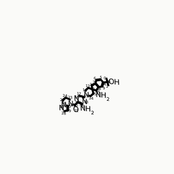 CC(C)(O)c1ccc2c(c1)[C@@H](N)C1(CCN(c3cnc(C(=O)N4CCCn5nccc54)c(N)n3)CC1)C2